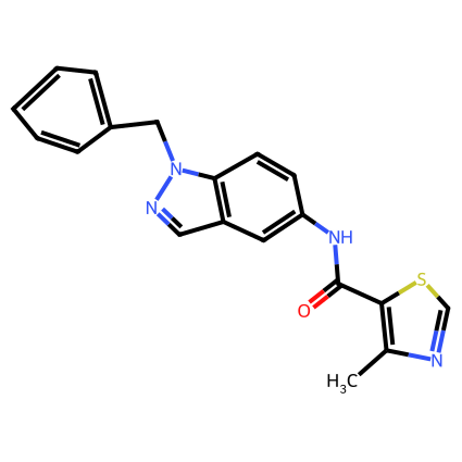 Cc1ncsc1C(=O)Nc1ccc2c(cnn2Cc2ccccc2)c1